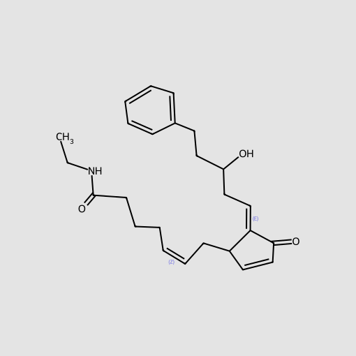 CCNC(=O)CCC/C=C\CC1C=CC(=O)/C1=C/CC(O)CCc1ccccc1